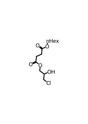 CCCCCCOC(=O)CCC(=O)OCC(O)CCl